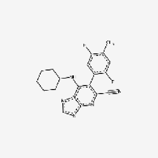 Cc1cc(F)c(-c2c(C#N)nc3ncnn3c2NC2CCCCC2)cc1F